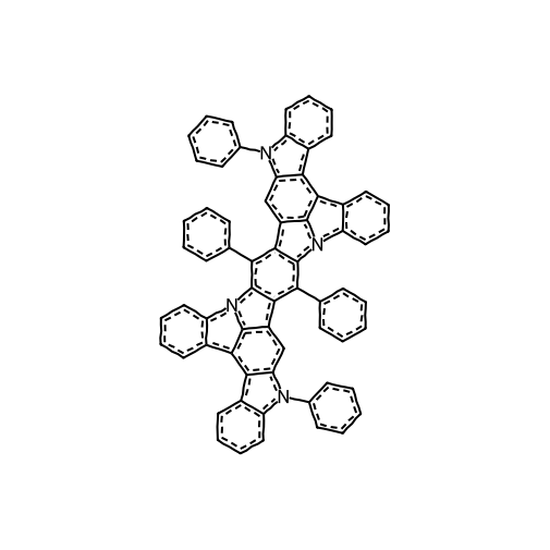 c1ccc(-c2c3c4cc5c(c6ccccc6n5-c5ccccc5)c5c6ccccc6n(c3c(-c3ccccc3)c3c6cc7c(c8ccccc8n7-c7ccccc7)c7c8ccccc8n(c23)c67)c45)cc1